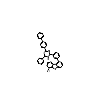 Clc1cccc2c1oc1cccc(-c3cccc(C4N=C(c5ccc(-c6ccccc6)cc5)N=C(c5ccccc5)N4)c3)c12